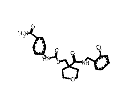 NC(=O)c1ccc(NC(=O)OCC2(C(=O)NCc3ccccc3Cl)CCOCC2)cc1